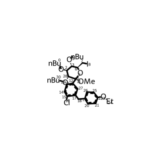 CCCCO[C@H]1[C@H](OCCCC)[C@@H](CI)O[C@@](OC)(c2ccc(Cl)c(Cc3ccc(OCC)cc3)c2)[C@@H]1OCCCC